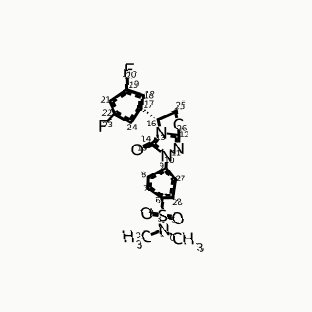 CN(C)S(=O)(=O)c1ccc(-n2nc3n(c2=O)[C@H](c2cc(F)cc(F)c2)CC3)cc1